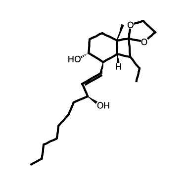 CCCCCCC[C@H](O)/C=C/[C@H]1[C@H](O)CC[C@@]2(C)[C@@H]1C(CC)C21OCCO1